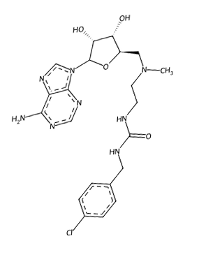 CN(CCNC(=O)NCc1ccc(Cl)cc1)C[C@H]1OC(n2cnc3c(N)ncnc32)[C@H](O)[C@@H]1O